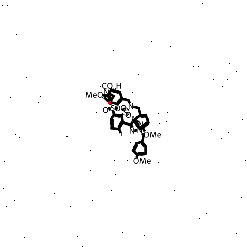 COc1ccc(CN(Cc2ccc(OC)cc2)S(=O)(=O)c2c(S(=O)(=O)C3CN(C(=O)O)C3)ccc(I)c2-c2nnn(Cc3ccc(OC)cc3)n2)cc1